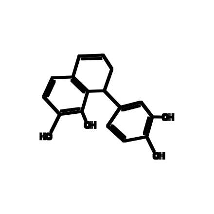 Oc1ccc(C2CC=Cc3ccc(O)c(O)c32)cc1O